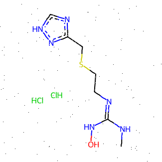 CNC(=NCCSCc1nc[nH]n1)NO.Cl.Cl